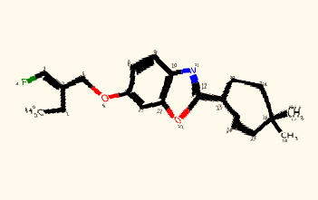 CC/C(=C\F)COc1ccc2nc(C3CCC(C)(C)CC3)oc2c1